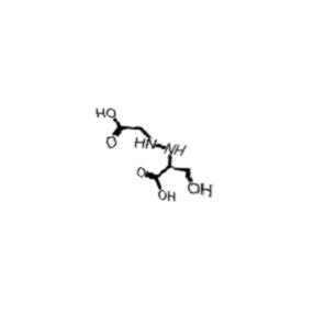 O=C(O)CNN[C@@H](CO)C(=O)O